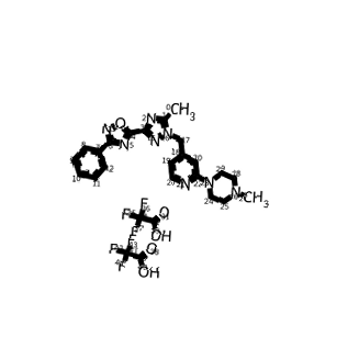 Cc1nc(-c2nc(-c3ccccc3)no2)nn1Cc1ccnc(N2CCN(C)CC2)c1.O=C(O)C(F)(F)F.O=C(O)C(F)(F)F